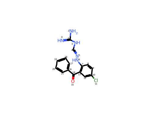 N=C(N)NC=NNc1ccc(Cl)cc1C(=O)c1ccccc1